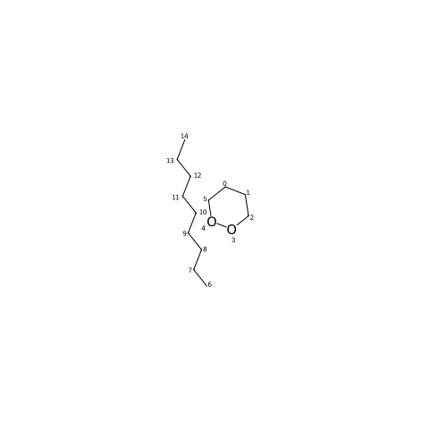 C1CCOOC1.CCCCCCCCC